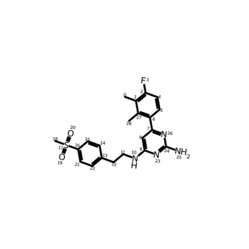 Cc1c(F)ccc(-c2cc(NCCc3ccc(S(C)(=O)=O)cc3)nc(N)n2)c1C